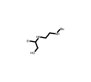 [CH2]C(CC)NCCNC(CC)CO